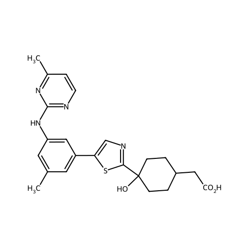 Cc1cc(Nc2nccc(C)n2)cc(-c2cnc(C3(O)CCC(CC(=O)O)CC3)s2)c1